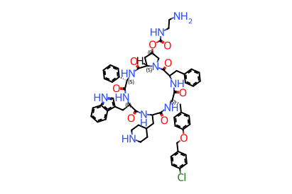 NCCNC(=O)O[C@@H]1C[C@H]2C(=O)N[C@@H](c3ccccc3)C(=O)N[C@H](Cc3c[nH]c4ccccc34)C(=O)NC(CC3CCNCC3)C(=O)N[C@@H](Cc3ccc(OCc4ccc(Cl)cc4)cc3)C(=O)NC(Cc3ccccc3)C(=O)N2C1